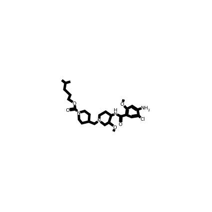 COc1cc(N)c(Cl)cc1C(=O)NC1CCN(CC2CCN(C(=O)OCCCC(C)C)CC2)CC1OC